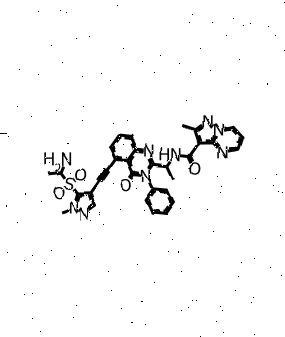 Cc1nn2cccnc2c1C(=O)NC(C)c1nc2cccc(C#Cc3cnn(C)c3S(=O)(=O)C(C)N)c2c(=O)n1-c1ccccc1